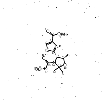 COC(=O)c1csc([C@@H]2[C@@H](C)OC(C)(C)N2C(=O)OC(C)(C)C)n1